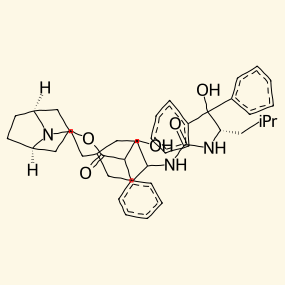 CC(C)C[C@H](NC(=O)NC1CCC(CCN2[C@@H]3CC[C@H]2CC(OC(=O)C(CO)c2ccccc2)C3)CC1)C(O)(c1ccccc1)c1ccccc1